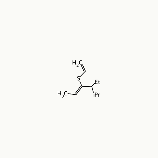 C=CS/C(=C\C)C(CC)C(C)C